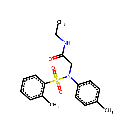 CCNC(=O)CN(c1ccc(C)cc1)S(=O)(=O)c1ccccc1C